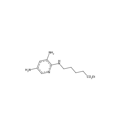 CCOC(=O)CCCCNc1ncc(N)cc1N